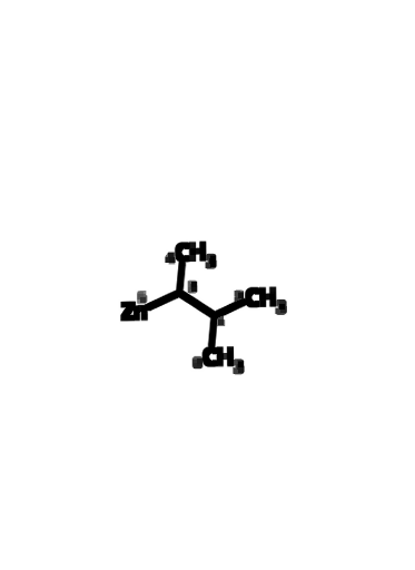 CC(C)[CH](C)[Zn]